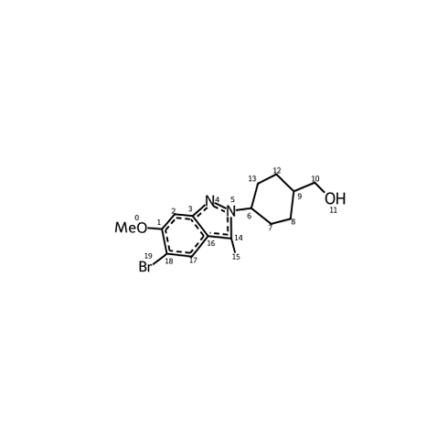 COc1cc2nn(C3CCC(CO)CC3)c(C)c2cc1Br